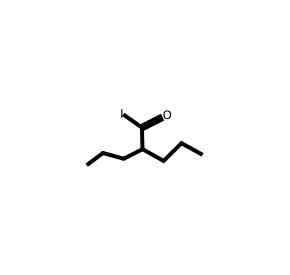 CCCC(CCC)C(=O)I